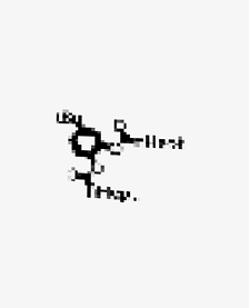 CCCCCCCC(=O)Oc1ccc(C(C)(C)C)cc1OC(=O)CCCCCCC